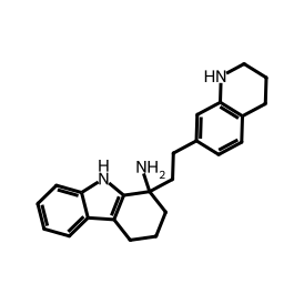 NC1(CCc2ccc3c(c2)NCCC3)CCCc2c1[nH]c1ccccc21